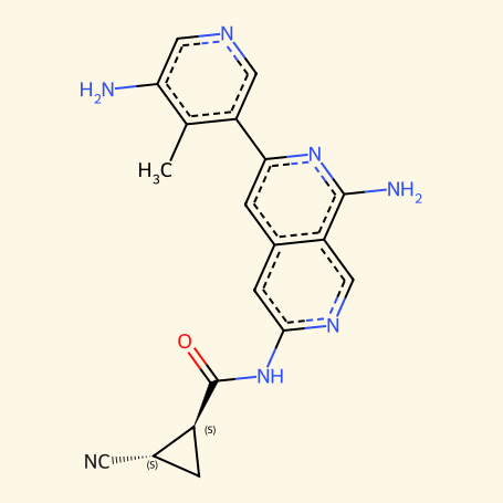 Cc1c(N)cncc1-c1cc2cc(NC(=O)[C@H]3C[C@@H]3C#N)ncc2c(N)n1